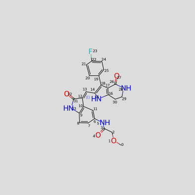 COCC(=O)Nc1ccc2c(c1)/C(=C\c1[nH]c3c(c1-c1ccc(F)cc1)C(=O)NCC3)C(=O)N2